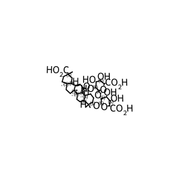 CC1(C)[C@@H](O[C@H]2OC(C(=O)O)[C@@H](O)C(O)[C@@H]2O[C@@H]2OC(C(=O)O)[C@@H](O)C(O)[C@@H]2O)CC[C@]2(C)[C@H]3C(=O)C=C4[C@@H]5C[C@@](C)(C(=O)O)CC[C@]5(C)CC[C@@]4(C)[C@]3(C)CC[C@@H]12